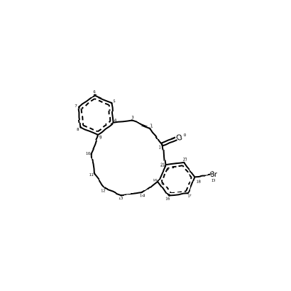 O=C1CCc2ccccc2CCCCCc2ccc(Br)cc21